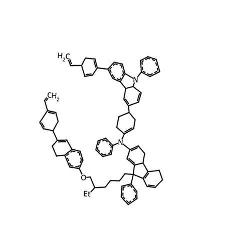 C=CC1=CCC(C2=Cc3ccc(OCC(CC)CCCCC4(c5ccccc5)C5=CC(N(C6=CCC(C7=CC8c9cc(C%10=CCC(C=C)C=C%10)ccc9N(c9ccccc9)C8C=C7)CC6)c6ccccc6)=CCC5C5=C4C=CCC5)cc3CC2)C=C1